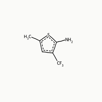 Cc1cc(C(F)(F)F)c(N)s1